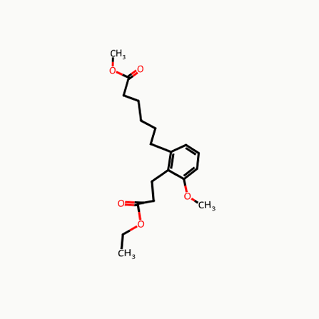 CCOC(=O)CCc1c(CCCCCC(=O)OC)cccc1OC